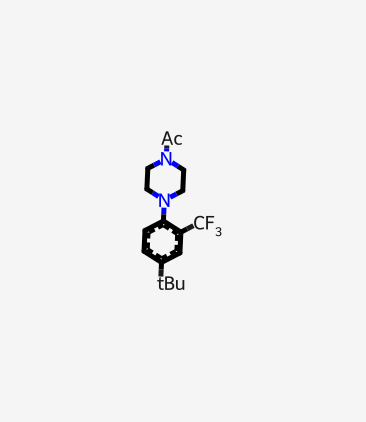 CC(=O)N1CCN(c2ccc(C(C)(C)C)cc2C(F)(F)F)CC1